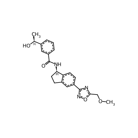 COCc1nc(-c2ccc3c(c2)CC[C@H]3NC(=O)c2cccc([C@H](C)O)c2)no1